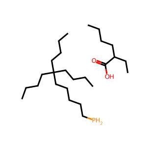 CCCCC(CC)C(=O)O.CCCCC(CCCC)(CCCC)CCCCCP